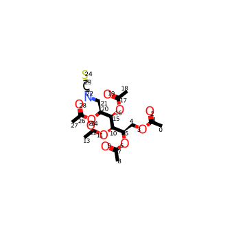 CC(=O)OC[C@@H](OC(C)=O)[C@@H](OC(C)=O)[C@H](OC(C)=O)[C@H](CN=C=S)OC(C)=O